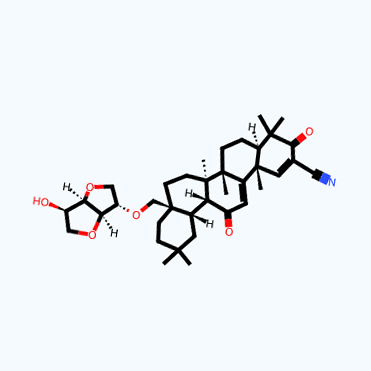 CC1(C)CC[C@]2(CO[C@H]3CO[C@H]4[C@@H]3OC[C@H]4O)CC[C@]3(C)[C@H](C(=O)C=C4[C@@]5(C)C=C(C#N)C(=O)C(C)(C)[C@@H]5CC[C@]43C)[C@@H]2C1